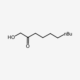 CCCCCCCCC(=O)CO